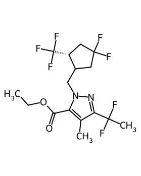 CCOC(=O)c1c(C)c(C(C)(F)F)nn1CC1CC(F)(F)C[C@H]1C(F)(F)F